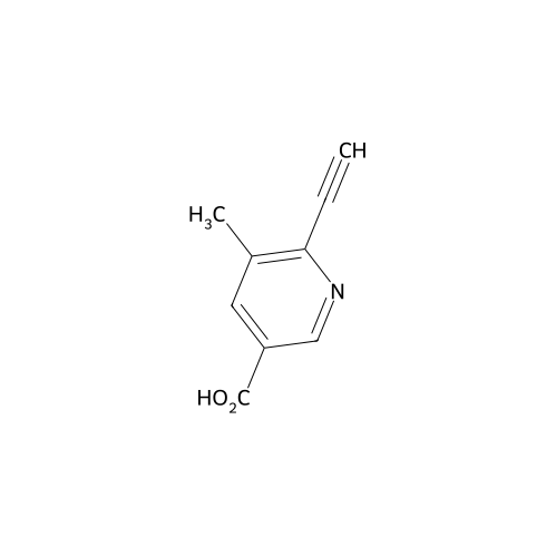 C#Cc1ncc(C(=O)O)cc1C